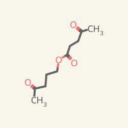 CC(=O)CCCOC(=O)CCC(C)=O